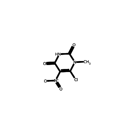 Cn1c(Cl)c([N+](=O)[O-])c(=O)[nH]c1=O